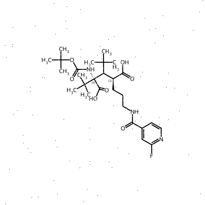 CC(C)(C)OC(=O)N[C@@](C(=O)O)(C([C@H](CCCNC(=O)c1ccnc(F)c1)C(=O)O)C(C)(C)C)C(C)(C)C